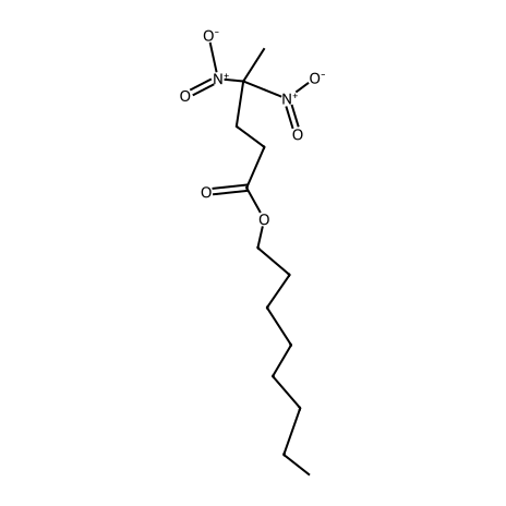 CCCCCCCCOC(=O)CCC(C)([N+](=O)[O-])[N+](=O)[O-]